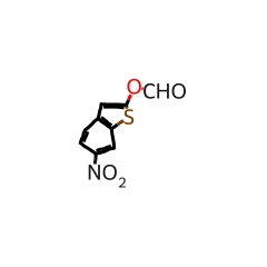 O=COc1cc2ccc([N+](=O)[O-])cc2s1